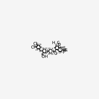 COc1ccc(C(=O)N2CCC(N3CC[C@H](Cc4ccc(Cl)c(Cl)c4)[C@H](CO)C3)CC2)c2ccc(C(F)(F)F)nc12